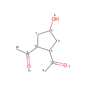 CC(=O)C1CC(O)CC1C(C)=O